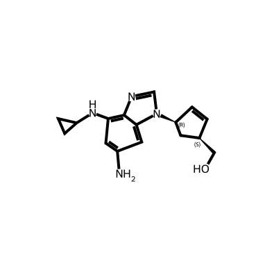 Nc1cc(NC2CC2)c2ncn([C@H]3C=C[C@@H](CO)C3)c2c1